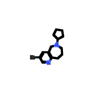 CCc1cnc2c(c1)CN(C1CCCC1)CCC2